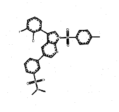 Cc1ccc(S(=O)(=O)n2cc(-c3cccc(F)c3Cl)c3cc(-c4cccc(S(=O)(=O)N(C)C)c4)cnc32)cc1